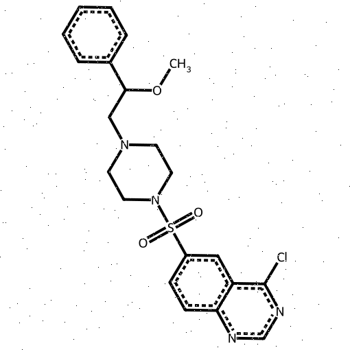 COC(CN1CCN(S(=O)(=O)c2ccc3ncnc(Cl)c3c2)CC1)c1ccccc1